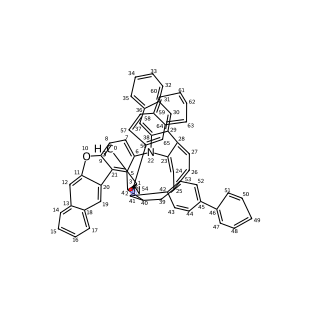 CC1C/C=C2\c3c(ccc4oc5cc6ccccc6cc5c34)-n3c4cc(ccc4c4cc5ccccc5cc43)CC2C(c2ccc(-c3ccccc3)cc2)/N=C\1c1ccc2ccccc2c1